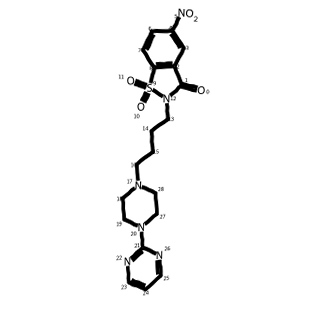 O=C1c2cc([N+](=O)[O-])ccc2S(=O)(=O)N1CCCCN1CCN(c2ncccn2)CC1